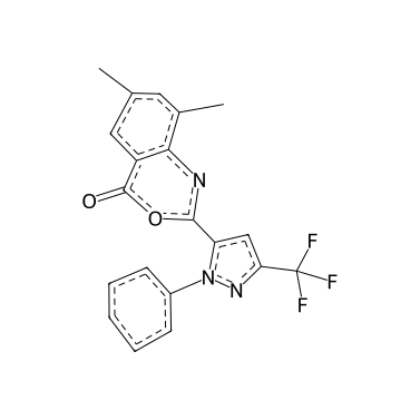 Cc1cc(C)c2nc(-c3cc(C(F)(F)F)nn3-c3ccccc3)oc(=O)c2c1